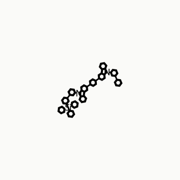 c1ccc(-c2cccc(-n3c4ccccc4c4cc(-c5ccc(-c6ccc7c(c6)c6ccccc6n7-c6cccc(-c7cccc([Si](c8ccccc8)(c8ccccc8)c8ccccc8)c7)c6)cc5)ccc43)c2)cc1